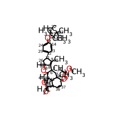 COC(=O)C[C@H]1[C@]2(C)C3=C(C)[C@H](c4ccc(O[Si](C)(C)C(C)(C)C)cc4)C[C@H]3O[C@@H]2[C@@H]2OC(=O)[C@]3(C)C=CC(=O)[C@@]1(C)[C@@H]23